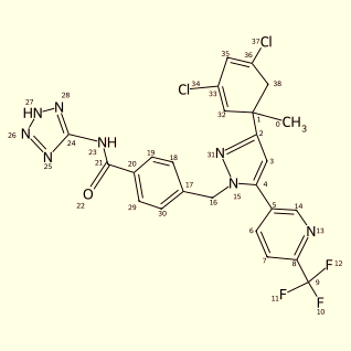 CC1(c2cc(-c3ccc(C(F)(F)F)nc3)n(Cc3ccc(C(=O)Nc4nn[nH]n4)cc3)n2)C=C(Cl)C=C(Cl)C1